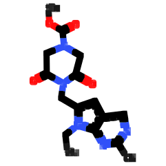 CC(C)(C)Cn1c(CN2C(=O)CN(C(=O)OC(C)(C)C)CC2=O)cc2cnc(C#N)nc21